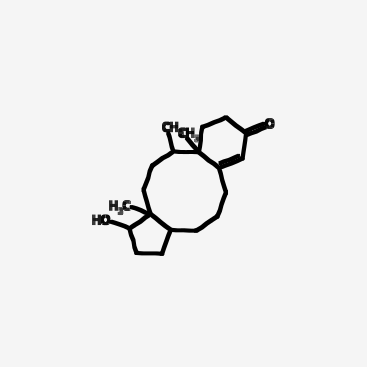 CC1CCC2(C)C(O)CCC2CCCC2=CC(=O)CCC21C